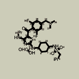 CC(C)CS(=O)(=O)NC1CCC(Nc2nc(NC(C)C)c(C(=O)c3c(F)cc(CN(C)C)cc3F)s2)CC1.O=CO